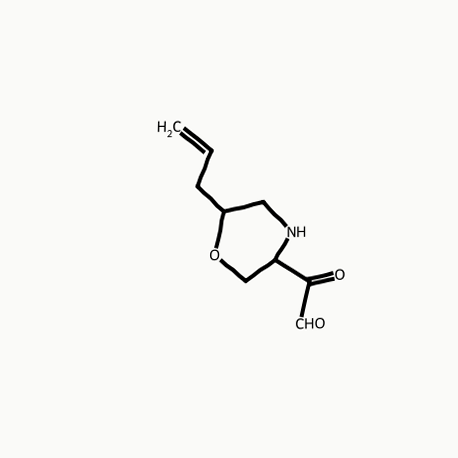 C=CCC1CNC(C(=O)C=O)CO1